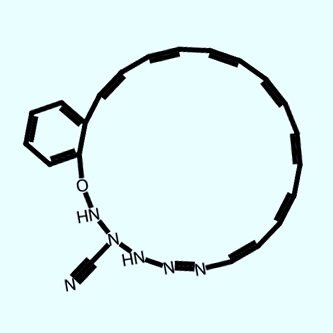 N#Cn1[nH]nnccccccccccccccc2ccccc2o[nH]1